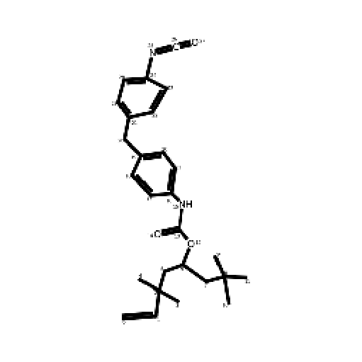 C=CC(C)(C)CC(CC(C)(C)C)OC(=O)Nc1ccc(Cc2ccc(N=C=O)cc2)cc1